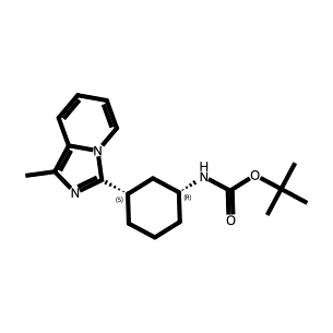 Cc1nc([C@H]2CCC[C@@H](NC(=O)OC(C)(C)C)C2)n2ccccc12